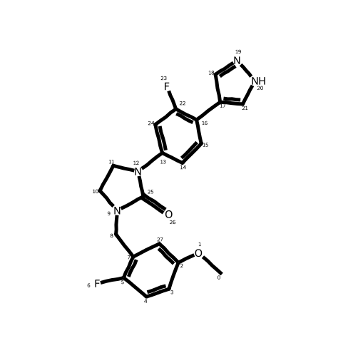 COc1ccc(F)c(CN2CCN(c3ccc(-c4cn[nH]c4)c(F)c3)C2=O)c1